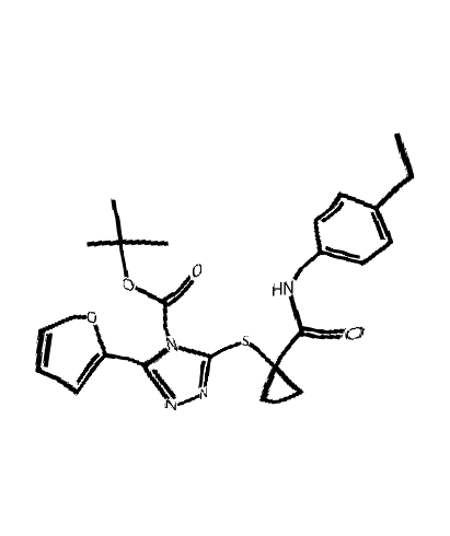 CCc1ccc(NC(=O)C2(Sc3nnc(-c4ccco4)n3C(=O)OC(C)(C)C)CC2)cc1